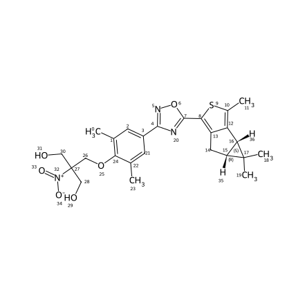 Cc1cc(-c2noc(-c3sc(C)c4c3C[C@@H]3[C@H]4C3(C)C)n2)cc(C)c1OCC(CO)(CO)[N+](=O)[O-]